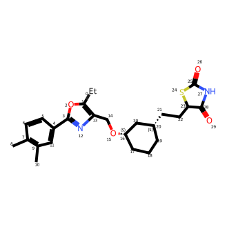 CCc1oc(-c2ccc(C)c(C)c2)nc1CO[C@H]1CCC[C@@H](CCC2SC(=O)NC2=O)C1